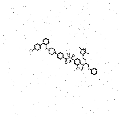 CC1=NC(C)CN1CC[C@H](CSc1ccccc1)Nc1ccc(S(=O)(=O)NC(=O)c2ccc(N3CCN(Cc4ccccc4-c4ccc(Cl)cc4)CC3)cc2)cc1C(F)(F)F